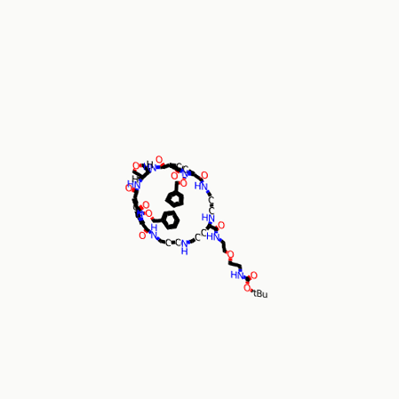 CC(C)(C)OC(=O)NCCOCCNC(=O)C1CCCNCCCNC(=O)c2ccc(c(=O)n2OCc2ccccc2)C(=O)N[C@@H]2COC[C@@H]2NC(=O)c2ccc(n(OCc3ccccc3)c2=O)C(=O)NCCCN1